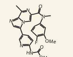 COC(=O)Nc1ccc(-c2cnc3c(C)nc(C(=O)N(C)c4ccc(F)c(OC)c4)cn23)cn1